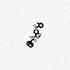 Cc1ccccc1C(=O)N1CCc2c(ncnc2NC(=O)CC23CC4CC(CC(C4)C2)C3)C1